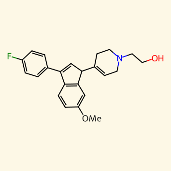 COc1ccc2c(c1)C(C1=CCN(CCO)CC1)C=C2c1ccc(F)cc1